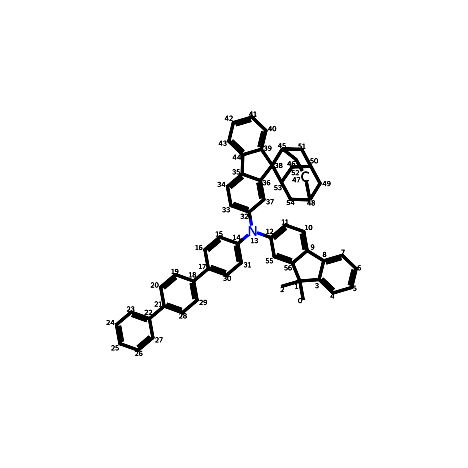 CC1(C)c2ccccc2-c2ccc(N(c3ccc(-c4ccc(-c5ccccc5)cc4)cc3)c3ccc4c(c3)C3(c5ccccc5-4)C4CCC5CC(C4)CC3C5)cc21